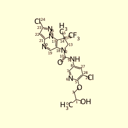 CC(O)COc1ncc(NC(=O)N2C[C@@](C)(C(F)(F)F)c3c2cnc2cc(Cl)nn32)cc1Cl